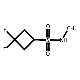 CNS(=O)(=O)C1CC(F)(F)C1